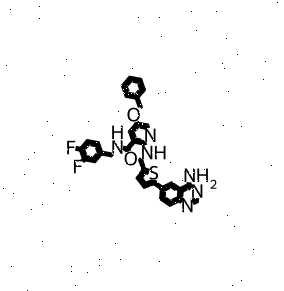 Nc1ncnc2ccc(-c3ccc(CNc4ncc(OCc5ccccc5)cc4C(=O)NCc4ccc(F)c(F)c4)s3)cc12